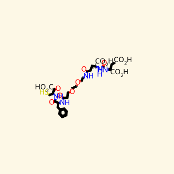 O=C(O)CC[C@@H](NC(=O)N[C@H](CCC(=O)NCCOCCOCCC(=O)NC(Cc1ccccc1)C(=O)NC(CS)C(=O)C(=O)O)C(=O)O)C(=O)O